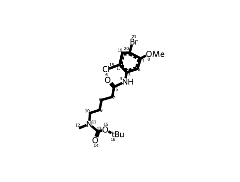 COc1cc(NC(=O)CCCCN(C)C(=O)OC(C)(C)C)c(Cl)cc1Br